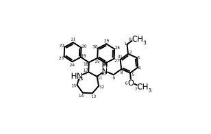 CCc1ccc(OC)c(CNC2CCCCNC2C(c2ccccc2)c2ccccc2)c1